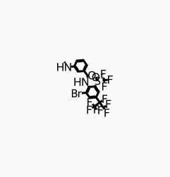 CNc1cccc(C(=O)Nc2c(Br)cc(C(F)(C(F)(F)F)C(F)(F)F)cc2[S+]([O-])C(F)(F)F)c1